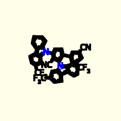 N#Cc1cc(-c2ccc(-n3c4ccccc4c4ccc(C(F)(F)F)cc43)c(C#N)c2-n2c3ccccc3c3ccc(C(F)(F)F)cc32)cc(C(F)(F)F)c1